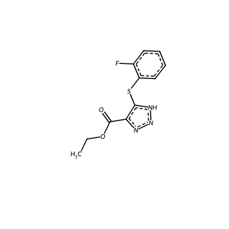 CCOC(=O)c1nn[nH]c1Sc1ccccc1F